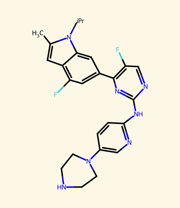 Cc1cc2c(F)cc(-c3nc(Nc4ccc(N5CCNCC5)cn4)ncc3F)cc2n1C(C)C